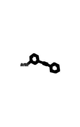 CC(=O)Nc1cccc(C#Cc2ccccc2)c1